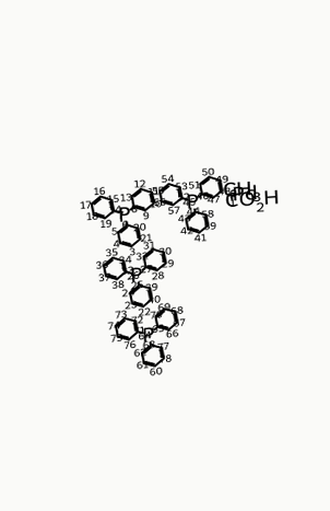 CC(=O)O.[Pd].c1ccc(P(c2ccccc2)c2ccccc2)cc1.c1ccc(P(c2ccccc2)c2ccccc2)cc1.c1ccc(P(c2ccccc2)c2ccccc2)cc1.c1ccc(P(c2ccccc2)c2ccccc2)cc1